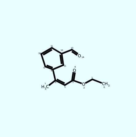 CCOC(=O)/C=C(/C)c1cccc(C=O)c1